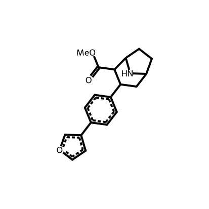 COC(=O)C1C2CCC(CC1c1ccc(-c3ccoc3)cc1)N2